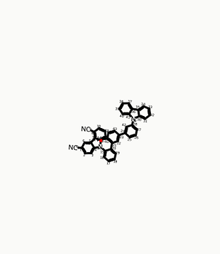 N#Cc1ccc2c(c1)c1c(C#N)cccc1n2-c1ccccc1-c1cc(-c2cccc(-n3c4ccccc4c4ccccc43)c2)ccc1C#N